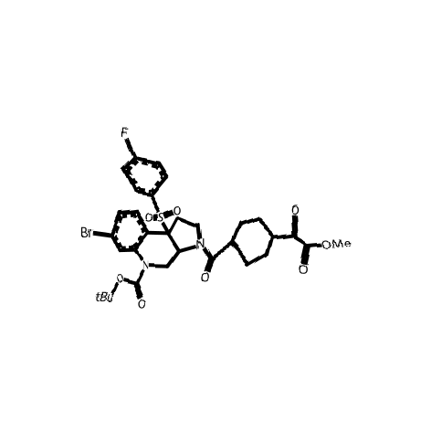 COC(=O)C(=O)C1CCC(C(=O)N2CCC3(S(=O)(=O)c4ccc(F)cc4)c4ccc(Br)cc4N(C(=O)OC(C)(C)C)CC23)CC1